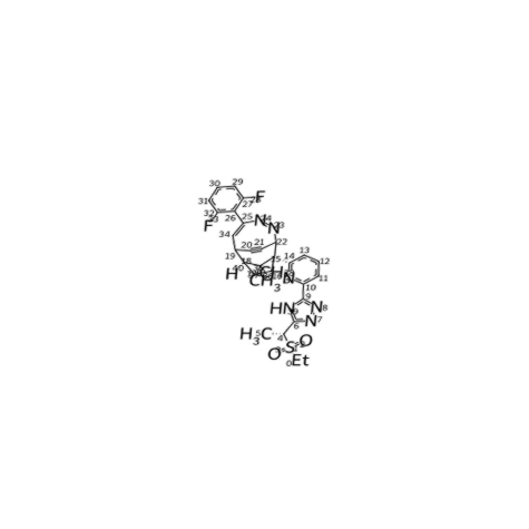 CCS(=O)(=O)[C@H](C)c1nnc(-c2cccc([C@@]34CC[C@@H](C5C#CC3/N=N\C(c3c(F)cccc3F)=C/5)C4(C)C)n2)[nH]1